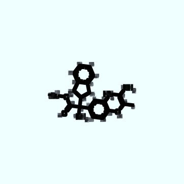 CC1=C(N)Nc2cc(C(N)(C(=O)OC(C)(C)C)C3Cc4ccccc4C3)ccc2O1